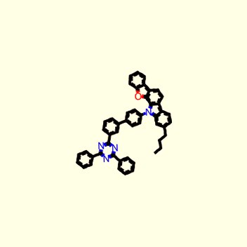 CCCCc1ccc2c3ccc4c5ccccc5oc4c3n(-c3ccc(-c4cccc(-c5nc(-c6ccccc6)nc(-c6ccccc6)n5)c4)cc3)c2c1